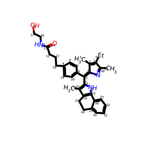 CCC1=C(C)/C(=C(\c2ccc(CCCC(=O)NCCO)cc2)c2[nH]c3c(c2C)CCc2ccccc2-3)N=C1C